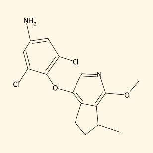 COc1ncc(Oc2c(Cl)cc(N)cc2Cl)c2c1C(C)CC2